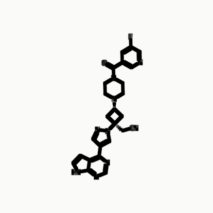 N#CC[C@]1(n2cc(-c3ncnc4[nH]ccc34)cn2)C[C@H](N2CCN(C(=O)c3cncc(F)c3)CC2)C1